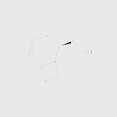 OS[C@@H]1CC=CC2CCC21